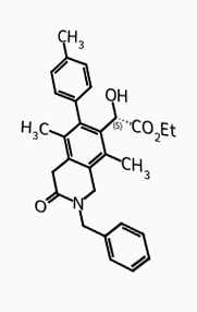 CCOC(=O)[C@@H](O)c1c(C)c2c(c(C)c1-c1ccc(C)cc1)CC(=O)N(Cc1ccccc1)C2